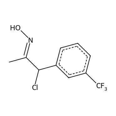 CC(=NO)C(Cl)c1cccc(C(F)(F)F)c1